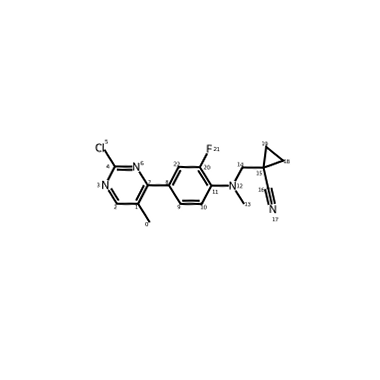 Cc1cnc(Cl)nc1-c1ccc(N(C)CC2(C#N)CC2)c(F)c1